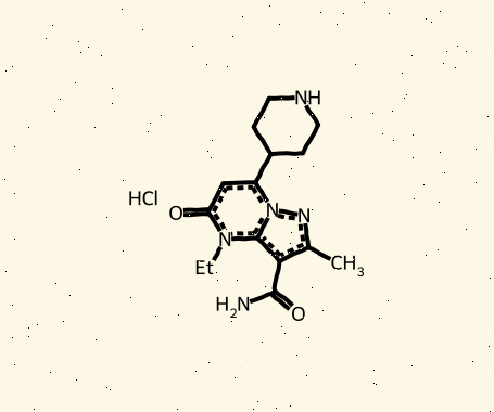 CCn1c(=O)cc(C2CCNCC2)n2nc(C)c(C(N)=O)c12.Cl